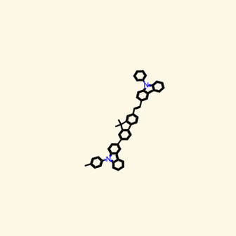 Cc1ccc(-n2c3ccccc3c3cc(-c4ccc5c(c4)C(C)(C)c4cc(/C=C/c6ccc7c(c6)c6ccccc6n7-c6ccccc6)ccc4-5)ccc32)cc1